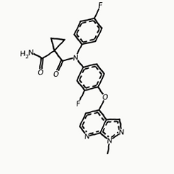 Cn1ncc2c(Oc3ccc(N(C(=O)C4(C(N)=O)CC4)c4ccc(F)cc4)cc3F)ccnc21